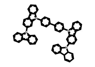 C1=CC2c3ccccc3N(c3ccc4c5ccccc5n(-c5ccc(-c6ccc(-n7c8ccccc8c8ccc(-n9c%10ccccc%10c%10ccccc%109)cc87)cc6)cc5)c4c3)C2C=C1